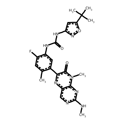 CNc1ncc2nc(-c3cc(NC(=O)Nc4cc(C(C)(C)C)on4)c(F)cc3C)c(=O)n(C)c2n1